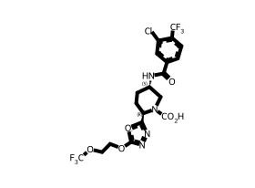 O=C(N[C@H]1CC[C@H](c2nnc(OCCOC(F)(F)F)o2)N(C(=O)O)C1)c1ccc(C(F)(F)F)c(Cl)c1